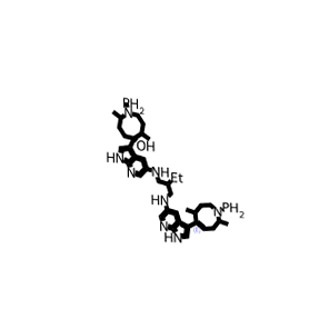 CCC(CNc1cnc2[nH]cc(/C3=C/CC(C)N(P)CCC3C)c2c1)CNc1cnc2[nH]cc(C3(O)CCC(C)N(P)CCC3C)c2c1